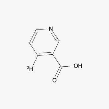 [2H]c1ccncc1C(=O)O